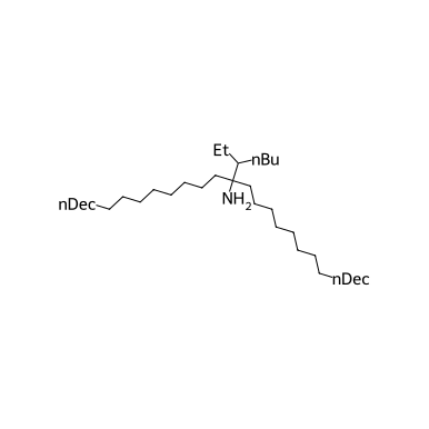 CCCCCCCCCCCCCCCCCCC(N)(CCCCCCCCCCCCCCCCCC)C(CC)CCCC